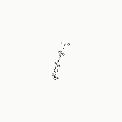 CC(C=O)CCCCNC(=O)OCCCOCC(=O)NCc1ccc(CC(=O)N2CCC2=O)cc1